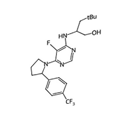 CC(C)(C)CC(CO)Nc1ncnc(N2CCCC2c2ccc(C(F)(F)F)cc2)c1F